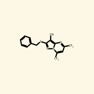 N#Cc1c(SCc2ccccc2)nn2c(C(F)(F)F)cc(C(F)(F)F)nc12